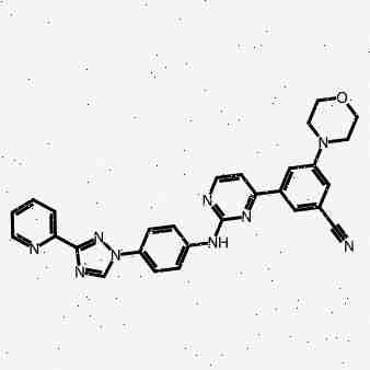 N#Cc1cc(-c2ccnc(Nc3ccc(-n4cnc(-c5ccccn5)n4)cc3)n2)cc(N2CCOCC2)c1